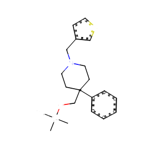 CC(C)(C)[Si](C)(C)OCC1(c2ccccc2)CCN(Cc2ccsc2)CC1